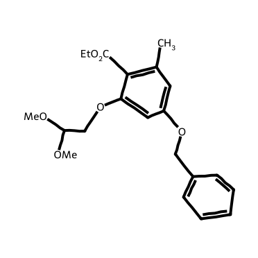 CCOC(=O)c1c(C)cc(OCc2ccccc2)cc1OCC(OC)OC